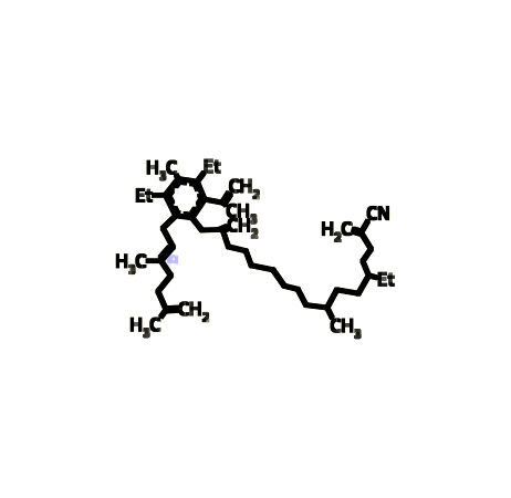 C=C(C)CC/C(C)=C/Cc1c(CC)c(C)c(CC)c(C(=C)C)c1CC(=C)CCCCCCCC(C)CCC(CC)CCC(=C)C#N